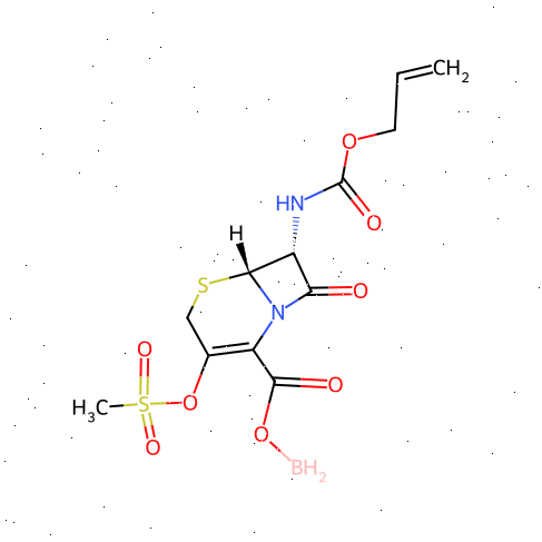 BOC(=O)C1=C(OS(C)(=O)=O)CS[C@@H]2[C@H](NC(=O)OCC=C)C(=O)N12